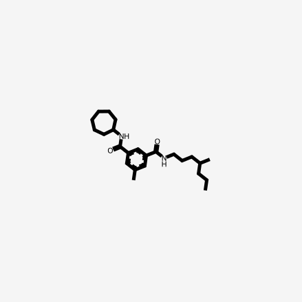 CCCC(C)CCCNC(=O)c1cc(C)cc(C(=O)NC2CCCCCC2)c1